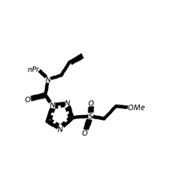 C=CCN(CCC)C(=O)n1cnc(S(=O)(=O)CCOC)n1